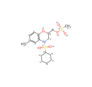 Cc1ccc2c(c1)N(S(=O)(=O)C1CCCCC1)CC(COS(C)(=O)=O)O2